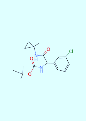 CC1(NC(=O)C(NC(=O)OC(C)(C)C)c2cccc(Cl)c2)CC1